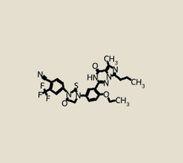 CCCc1nc(C)c2c(=O)[nH]c(-c3cc(N4CC(=O)N(c5ccc(C#N)c(C(F)(F)F)c5)C4=S)ccc3OCC)nn12